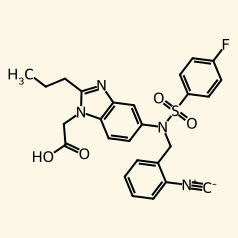 [C-]#[N+]c1ccccc1CN(c1ccc2c(c1)nc(CCC)n2CC(=O)O)S(=O)(=O)c1ccc(F)cc1